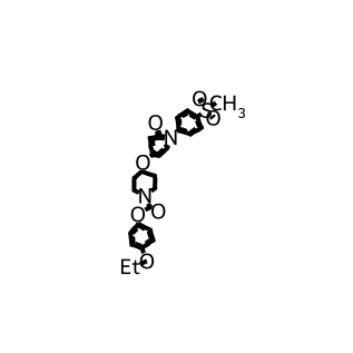 CCOc1ccc(OC(=O)N2CCC(Oc3ccn(-c4ccc(S(C)(=O)=O)cc4)c(=O)c3)CC2)cc1